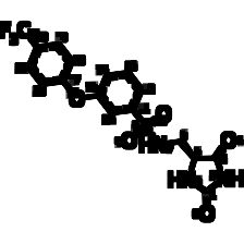 O=C1NC(=O)[C@H](CNS(=O)(=O)c2cccc(Oc3ccc(C(F)(F)F)cc3)c2)N1